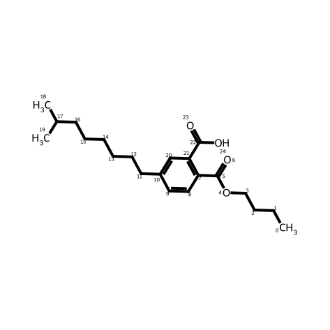 CCCCOC(=O)c1ccc(CCCCCCC(C)C)cc1C(=O)O